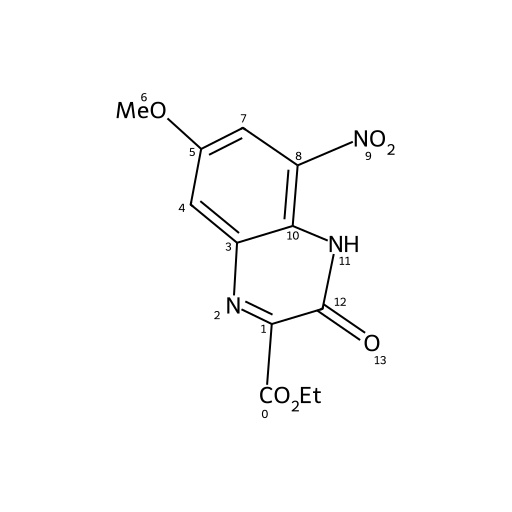 CCOC(=O)c1nc2cc(OC)cc([N+](=O)[O-])c2[nH]c1=O